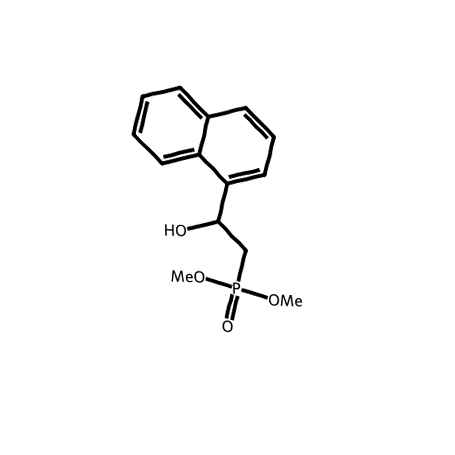 COP(=O)(CC(O)c1cccc2ccccc12)OC